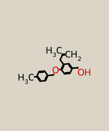 C=C(C)Cc1cc(CO)ccc1OCc1ccc(C)cc1